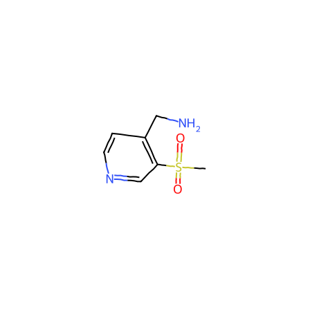 CS(=O)(=O)c1cnccc1CN